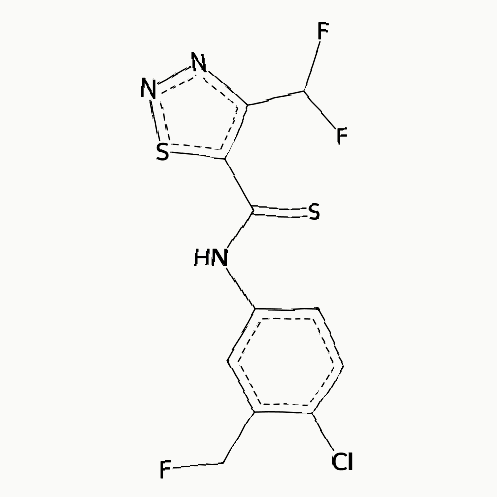 FCc1cc(NC(=S)c2snnc2C(F)F)ccc1Cl